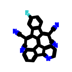 N#CC(C#N)=C1/C(=C2/c3ccccc3-c3ncccc32)C(=C(C#N)C#N)c2cc(F)ccc21